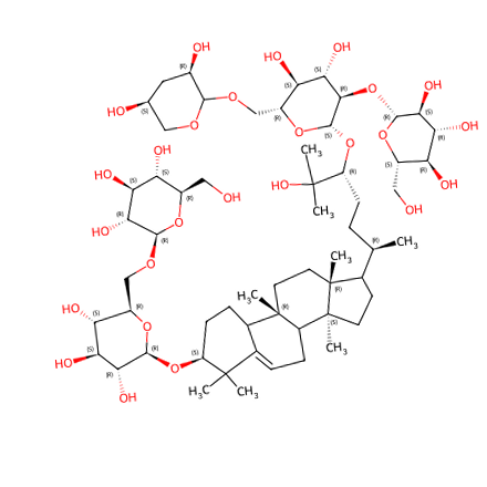 C[C@H](CC[C@@H](O[C@@H]1O[C@H](COC2OC[C@@H](O)C[C@H]2O)[C@@H](O)[C@H](O)[C@H]1O[C@H]1O[C@@H](CO)[C@H](O)[C@@H](O)[C@@H]1O)C(C)(C)O)C1CC[C@@]2(C)C3CC=C4C(CC[C@H](O[C@@H]5O[C@H](CO[C@@H]6O[C@H](CO)[C@@H](O)[C@H](O)[C@H]6O)[C@@H](O)[C@H](O)[C@H]5O)C4(C)C)[C@]3(C)CC[C@]12C